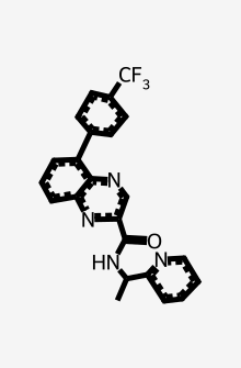 CC(NC(=O)c1cnc2c(-c3ccc(C(F)(F)F)cc3)cccc2n1)c1ccccn1